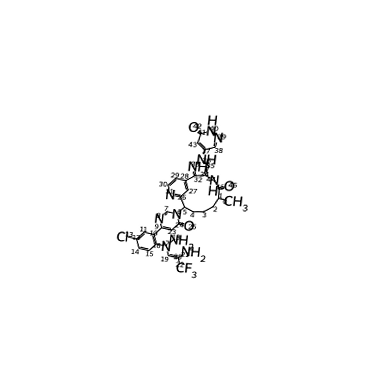 CC1CCCC(n2cnc(-c3cc(Cl)ccc3N(N)/C=C(\N)C(F)(F)F)cc2=O)c2cc(ccn2)C(=N)/C(=C\Nc2cn[nH]c(=O)c2)NC1=O